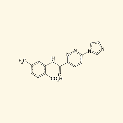 O=C(Nc1cc(C(F)(F)F)ccc1C(=O)O)c1ccc(-n2ccnc2)nn1